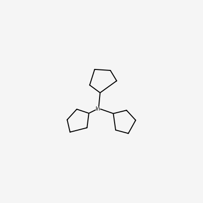 C1CC[CH]([In]([CH]2CCCC2)[CH]2CCCC2)C1